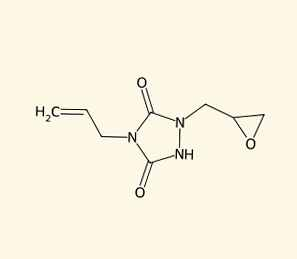 C=CCn1c(=O)[nH]n(CC2CO2)c1=O